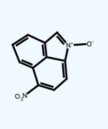 O=[N+]([O-])c1ccc2c3c(cccc13)C=[N+]2[O-]